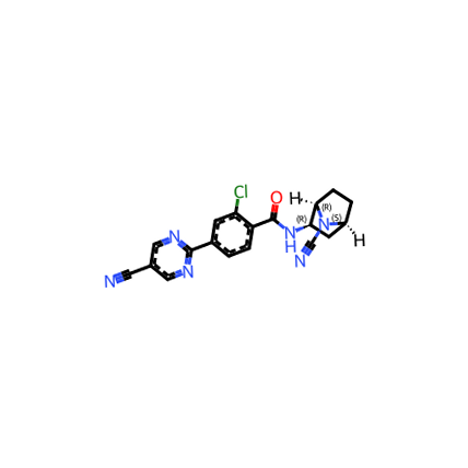 N#Cc1cnc(-c2ccc(C(=O)N[C@@H]3C[C@@H]4CC[C@H]3N4C#N)c(Cl)c2)nc1